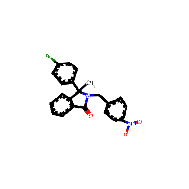 CC1(c2ccc(Br)cc2)c2ccccc2C(=O)N1Cc1ccc([N+](=O)[O-])cc1